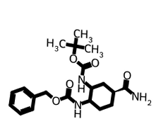 CC(C)(C)OC(=O)NC1C[C@@H](C(N)=O)CCC1NC(=O)OCc1ccccc1